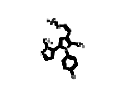 C=N/C=C\c1cc(-c2ccnn2C)n(-c2ccc(Cl)cc2)c1C